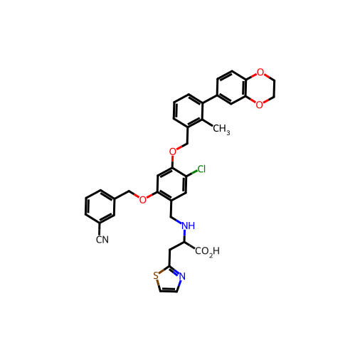 Cc1c(COc2cc(OCc3cccc(C#N)c3)c(CNC(Cc3nccs3)C(=O)O)cc2Cl)cccc1-c1ccc2c(c1)OCCO2